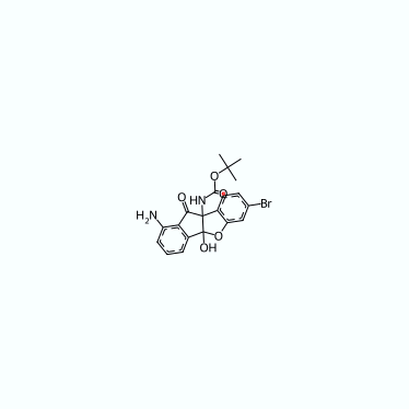 CC(C)(C)OC(=O)NC12C(=O)c3c(N)cccc3C1(O)Oc1cc(Br)ccc12